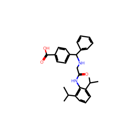 CC(C)c1cccc(C(C)C)c1NC(=O)CNC(c1ccccc1)c1ccc(C(=O)O)cc1